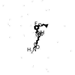 CC(NS(=O)(=O)CCCCCOC(=O)CN)c1ccc(F)c(OCCC2CC2)c1